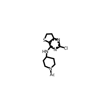 CC(=O)N1CCC(Nc2nc(Cl)nc3c2SCC3)CC1